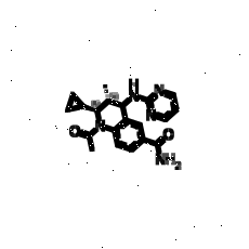 CC(=O)N1c2ccc(C(N)=O)cc2C(Nc2ncccn2)[C@@H](C)[C@@H]1C1CC1